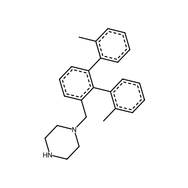 Cc1ccccc1-c1cccc(CN2CCNCC2)c1-c1ccccc1C